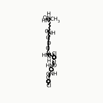 C[C@@H]1NC(=O)N[C@@H]1CCCCCC(=O)NCCOCCOCCOCCN1CC(c2cc(OCC(=O)N[C@H]3CC[C@H](NC(=O)COc4ccc(Cl)cc4)CC3)ccc2Cl)NN1